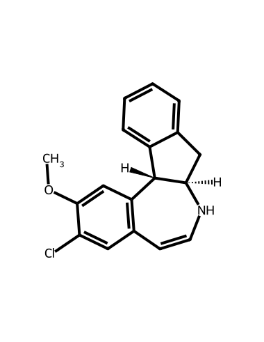 COc1cc2c(cc1Cl)C=CN[C@@H]1Cc3ccccc3[C@@H]21